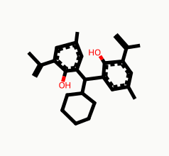 C=C(C)c1cc(C)cc(C(c2cc(C)cc(C(=C)C)c2O)C2CCCCC2)c1O